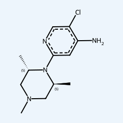 C[C@H]1CN(C)C[C@H](C)N1c1cc(N)c(Cl)cn1